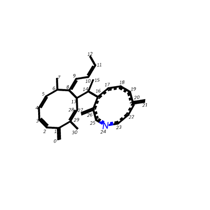 C=C1/C=C\C=C/C(C)/C(=C/C=C\C)C(C(C)c2cccc(=C)ccncc2=C)/C=C\1C